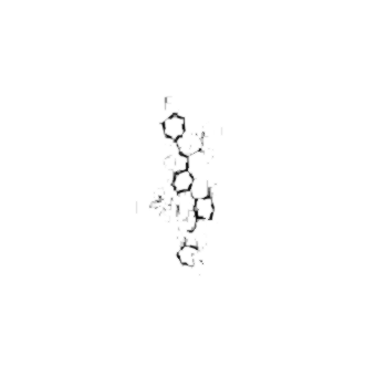 CNC(=O)c1c(-c2ccc(F)cc2)oc2cc(N(C)S(C)(=O)=O)c(-c3cc(-c4nc5cccnc5o4)ccc3F)cc12